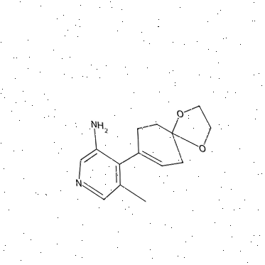 Cc1cncc(N)c1C1=CCC2(CC1)OCCO2